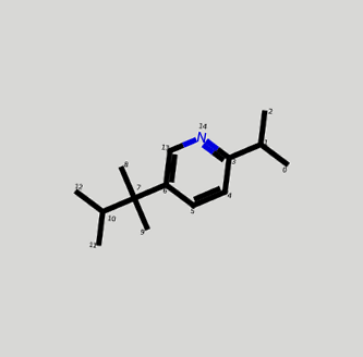 CC(C)c1ccc(C(C)(C)C(C)C)cn1